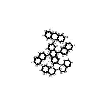 C1=CC2=C(CC1)N(c1cc3c(-c4ccc5ccccc5c4)c4cc(N5c6ccccc6Cc6ccccc65)ccc4c(-c4ccc5ccccc5c4)c3cc1N1CCCc3ccccc31)CCC2